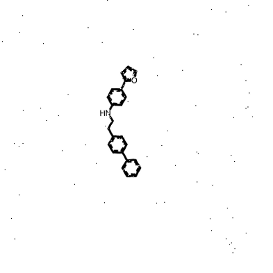 c1ccc(-c2ccc(CCNc3ccc(-c4ccco4)cc3)cc2)cc1